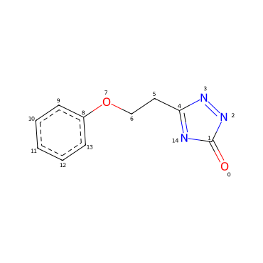 O=C1N=NC(CCOc2ccccc2)=N1